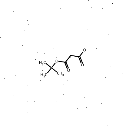 CC(C)(C)OC(=O)CC([O])=O